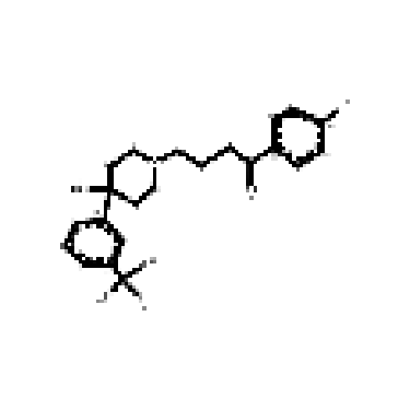 OC(CCCN1CCC(O)(c2cccc(C(F)(F)F)c2)CC1)c1ccc(F)cc1